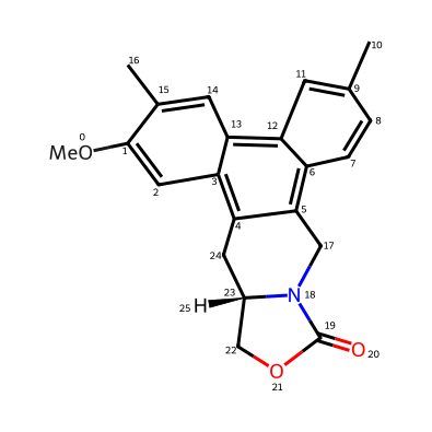 COc1cc2c3c(c4ccc(C)cc4c2cc1C)CN1C(=O)OC[C@@H]1C3